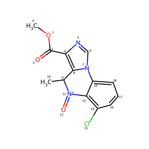 COC(=O)c1ncn2c1C(C)[N+](=O)c1c(Cl)cccc1-2